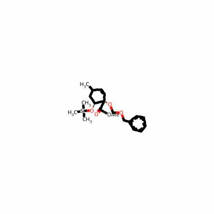 COC(=O)[C@]1(OCOCc2ccccc2)C=CC(C)C[C@H]1O[Si](C)(C)C